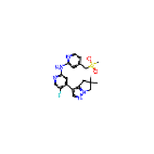 CC1(C)Cc2c(-c3cc(Nc4cc(CS(C)(=O)=O)ccn4)ncc3F)cnn2C1